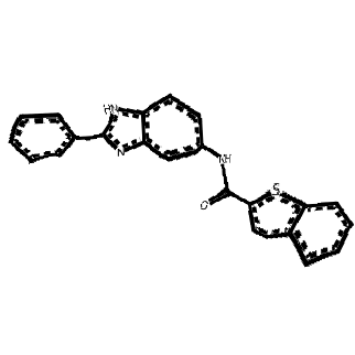 O=C(Nc1ccc2[nH]c(-c3ccccc3)nc2c1)c1cc2ccccc2s1